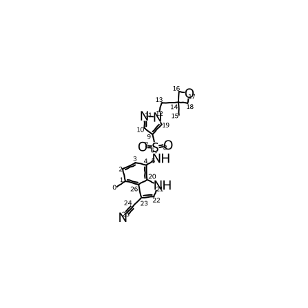 Cc1ccc(NS(=O)(=O)c2cnn(CC3(C)COC3)c2)c2[nH]cc(C#N)c12